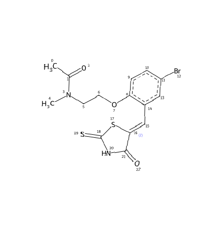 CC(=O)N(C)CCOc1ccc(Br)cc1/C=C1\SC(=S)NC1=O